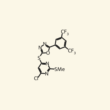 CSc1nc(Cl)cc(Sc2nnc(-c3cc(C(F)(F)F)cc(C(F)(F)F)c3)o2)n1